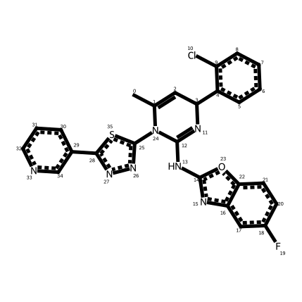 CC1=CC(c2ccccc2Cl)N=C(Nc2nc3cc(F)ccc3o2)N1c1nnc(-c2cccnc2)s1